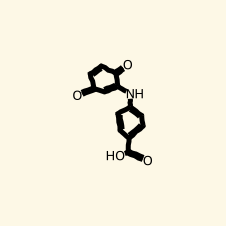 O=C1C=CC(=O)C(Nc2ccc(C(=O)O)cc2)=C1